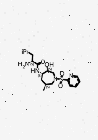 CC(C)C[C@H](N)C(=O)N[C@H]1C[C@H](C)CN(S(=O)(=O)c2ccccn2)C[C@@H]1O